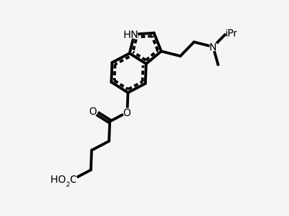 CC(C)N(C)CCc1c[nH]c2ccc(OC(=O)CCCC(=O)O)cc12